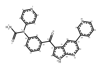 NC(=O)N(c1ccncc1)c1cccc(C(=O)c2c[nH]c3ncc(-c4cccnc4)cc23)c1